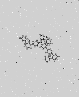 c1ccc(-c2ccc(-c3ccc(N(c4ccc(-c5cccc6c5oc5ccccc56)cc4)c4cccc5oc6ccccc6c45)cc3)cc2-c2ccccc2)cc1